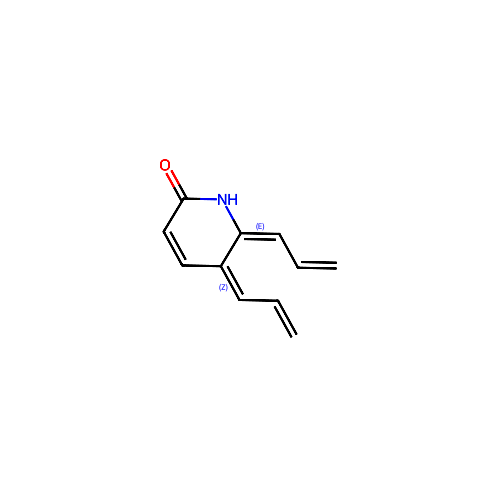 C=C/C=c1/ccc(=O)[nH]/c1=C/C=C